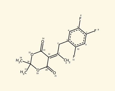 CC(Cc1cc(F)c(F)cc1F)=C1C(=O)OC(C)(C)OC1=O